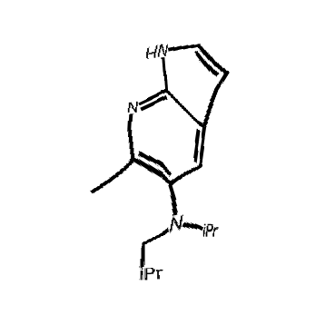 Cc1nc2[nH]ccc2cc1N(CC(C)C)C(C)C